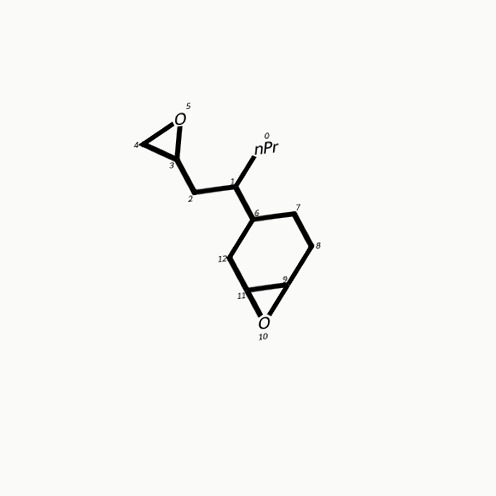 CCCC(CC1CO1)C1CCC2OC2C1